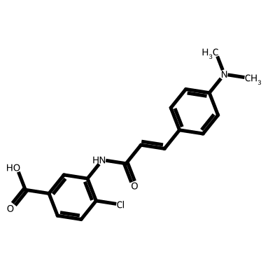 CN(C)c1ccc(C=CC(=O)Nc2cc(C(=O)O)ccc2Cl)cc1